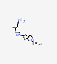 CCOC(=O)N1CCC2(CC(NCCC(C)CCN)C2)C1